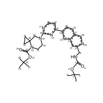 CC(C)(C)OC(=O)NCc1cc2nc(-c3ccnc(N4CCN(C(=O)OC(C)(C)C)C5(CC5)C4)n3)ccc2cn1